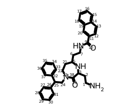 NCCC1NC(CCNC(=O)c2ccc3ccccc3c2)CCN(CC(c2ccccc2)c2ccccc2)C1=O